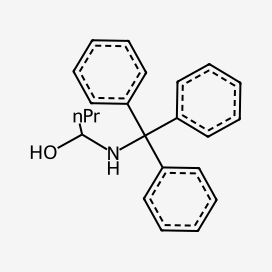 CCCC(O)NC(c1ccccc1)(c1ccccc1)c1ccccc1